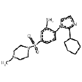 CN1CCN(S(=O)(=O)c2ccc(-n3ccnc3C3CCCCC3)c(N)c2)CC1